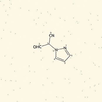 N#CC(C=O)n1cccn1